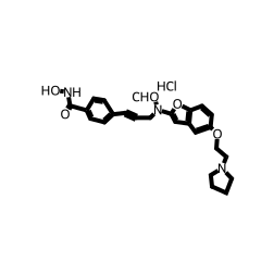 Cl.O=CN(CC#Cc1ccc(C(=O)NO)cc1)c1cc2cc(OCCN3CCCC3)ccc2o1